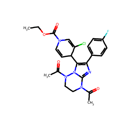 CCOC(=O)N1C=CC(c2c(-c3ccc(F)cc3)nc3n2N(C(C)=O)CCN3C(C)=O)C(Cl)=C1